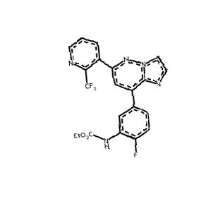 CCOC(=O)Nc1cc(-c2cc(-c3cccnc3C(F)(F)F)nn3ccnc23)ccc1F